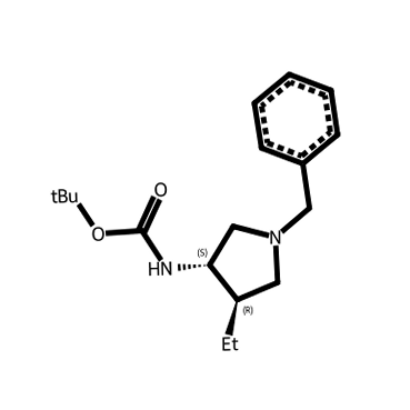 CC[C@@H]1CN(Cc2ccccc2)C[C@H]1NC(=O)OC(C)(C)C